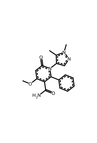 COc1cc(=O)n(-c2cnn(C)c2C)c(-c2ccccc2)c1C(N)=O